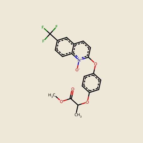 COC(=O)C(C)Oc1ccc(Oc2ccc3cc(C(F)(F)F)ccc3[n+]2[O-])cc1